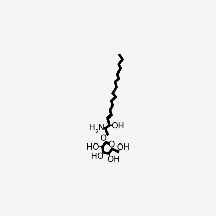 CCCCCCCCCCCCC/C=C/[C@@H](O)[C@@H](N)CO[C@@H]1OC(CO)[C@@H](O)C(O)[C@@H]1O